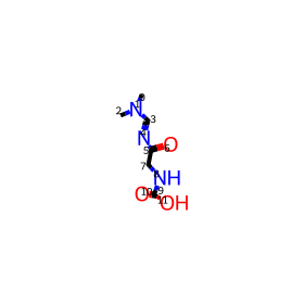 CN(C)/C=N/C(=O)CNC(=O)O